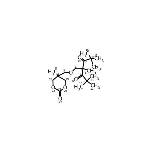 CC1(COCC(C)(C(=O)C(C)(C)C)C(=O)C(C)(C)C)COC(=O)OC1